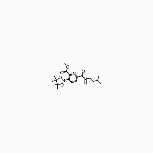 COC(=O)c1nc(C(=O)NCCC(C)C)ccc1B1OC(C)(C)C(C)(C)O1